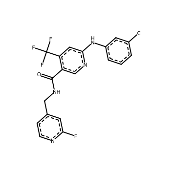 O=C(NCc1ccnc(F)c1)c1cnc(Nc2cccc(Cl)c2)cc1C(F)(F)F